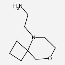 NCCN1CCOCC12CCC2